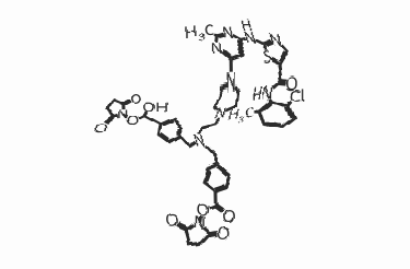 Cc1nc(Nc2ncc(C(=O)Nc3c(C)cccc3Cl)s2)cc(N2CCN(CCN(Cc3ccc(C(=O)ON4C(=O)CCC4=O)cc3)Cc3ccc(C(O)ON4C(=O)CCC4=O)cc3)CC2)n1